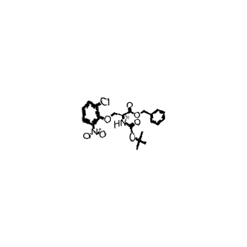 CC(C)(C)OC(=O)N[C@@H](COc1c(Cl)cccc1[N+](=O)[O-])C(=O)OCc1ccccc1